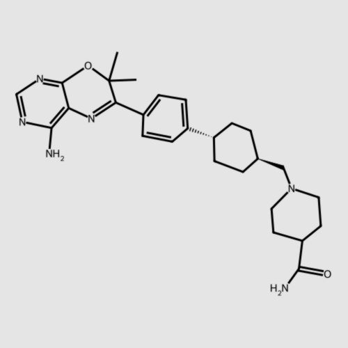 CC1(C)Oc2ncnc(N)c2N=C1c1ccc([C@H]2CC[C@H](CN3CCC(C(N)=O)CC3)CC2)cc1